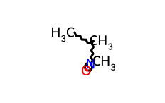 CCCCCCCC(C)CCCCC(C)N1CCOCC1